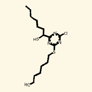 CCCCCCC(S)c1nc(Cl)nc(SCCCCCCO)n1